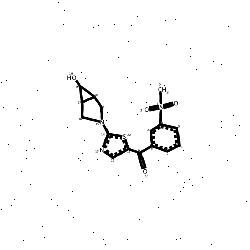 CS(=O)(=O)c1cccc(C(=O)c2cnc(N3CC4C(O)C4C3)s2)c1